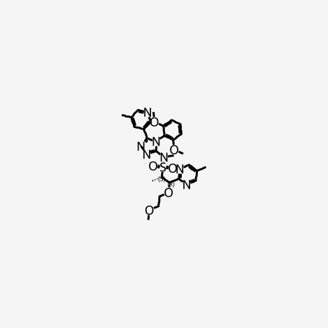 COCCO[C@H](c1ncc(C)cn1)[C@H](C)S(=O)(=O)N(C)c1nnc(-c2cncc(C)c2)n1-c1c(OC)cccc1OC